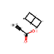 C#CC(=O)O.C1CC2CCC12